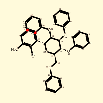 [CH2]Cc1c(C)cc(Cl)cc1[C@H]1O[C@H](COc2ccccc2)[C@@H](Oc2ccccc2)[C@H](Oc2ccccc2)[C@@H]1Oc1ccccc1